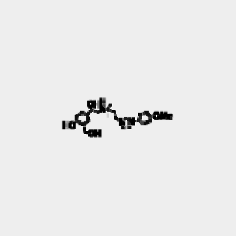 COc1ccc(N2C=CN(CCC(C)(C)NCC(O)c3ccc(O)c(CO)c3)C2)cc1